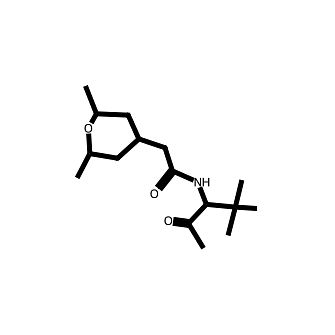 CC(=O)C(NC(=O)CC1CC(C)OC(C)C1)C(C)(C)C